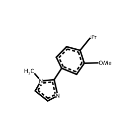 COc1cc(-c2nccn2C)ccc1C(C)C